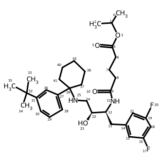 CC(C)OC(=O)CCCC(=O)N[C@@H](Cc1cc(F)cc(F)c1)[C@@H](O)CNC1(c2cccc(C(C)(C)C)c2)CCCCC1